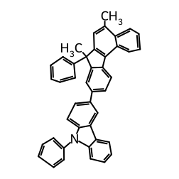 Cc1cc2c(c3ccccc13)-c1ccc(-c3ccc4c(c3)c3ccccc3n4-c3ccccc3)cc1C2(C)c1ccccc1